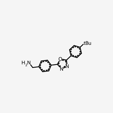 CC(C)(C)c1ccc(-c2nnc(-c3ccc(CN)cc3)o2)cc1